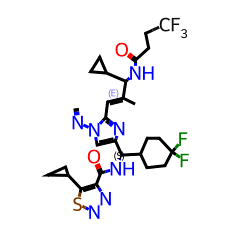 C=Nn1cc([C@@H](NC(=O)c2nnsc2C2CC2)C2CCC(F)(F)CC2)nc1/C=C(\C)C(NC(=O)CCC(F)(F)F)C1CC1